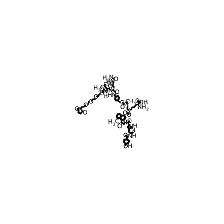 Cc1cccc2c(OC(=O)N(CCCC[C@H](N)C(=O)O)CCN(C)C(=O)OCc3ccc(NC(=O)[C@H](CCCNC(N)=O)NC(=O)[C@@H](NC(=O)OCCOCCOCCOCCN4C(=O)C=CC4=O)C(C)C)cc3)cc3c(c12)[C@H](CCl)CN3C(=O)c1cc2cc(NC(=O)c3ccc(O)cc3)cnc2[nH]1